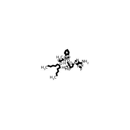 C#C[C@]1(COP(=O)(NC(C)C(=O)OC(CCCCCC)CCCCCC)Oc2ccccc2)O[C@@H](n2cnc3c(N)nc(F)nc32)C[C@@H]1O